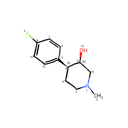 CN1CC[C@@H](c2ccc(F)cc2)[C@@H](O)C1